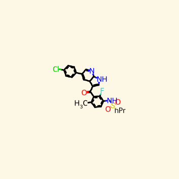 CCCS(=O)(=O)Nc1ccc(C)c(C(=O)C2=CNC3N=CC(c4ccc(Cl)cc4)=CC23)c1F